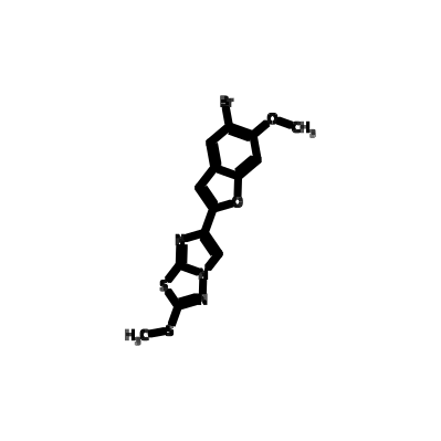 COc1cc2oc(-c3cn4nc(SC)sc4n3)cc2cc1Br